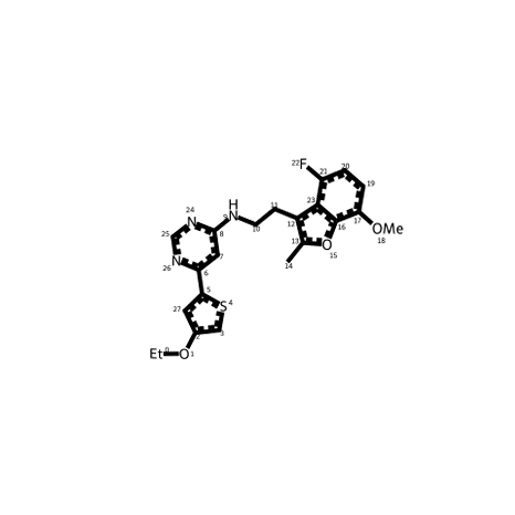 CCOc1csc(-c2cc(NCCc3c(C)oc4c(OC)ccc(F)c34)ncn2)c1